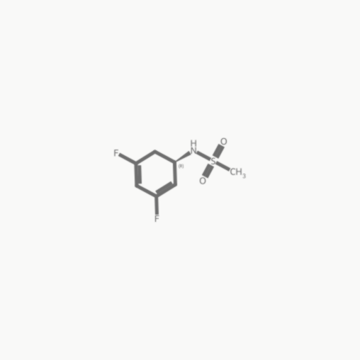 CS(=O)(=O)N[C@H]1C=C(F)C=C(F)C1